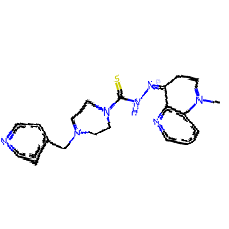 CN1CC/C(=N/NC(=S)N2CCN(Cc3ccncc3)CC2)c2ncccc21